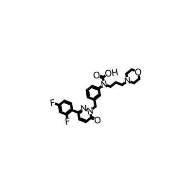 O=C(O)N(CCCN1CCOCC1)c1cccc(Cn2nc(-c3ccc(F)cc3F)ccc2=O)c1